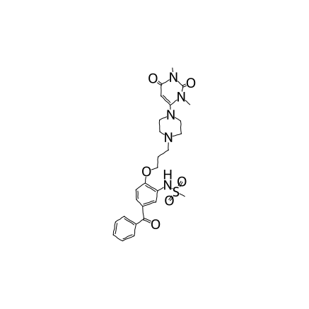 Cn1c(N2CCN(CCCOc3ccc(C(=O)c4ccccc4)cc3NS(C)(=O)=O)CC2)cc(=O)n(C)c1=O